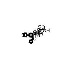 CSc1sc(NC(=O)Nc2ccc(N3CCOCC3)cc2C(=O)C2CCCC2)nc1C(=O)O